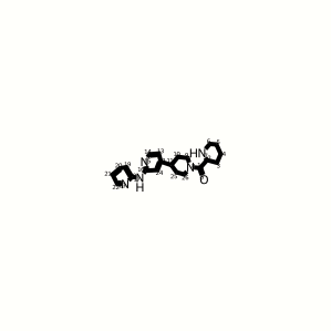 O=C(C1CCCCN1)N1CCC(c2ccnc(Nc3ccccn3)c2)CC1